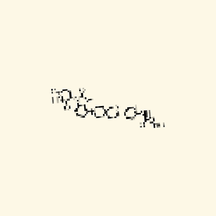 Cn1c(=O)n(C2=CCC(=O)NC2=O)c2cccc(N3CCC4(CC[C@@H](c5ccc(NC(=O)OC(C)(C)C)nc5)OC4)CC3)c21